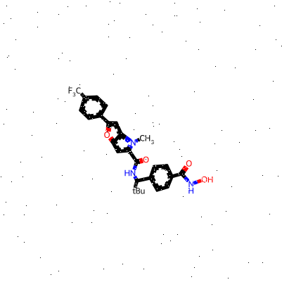 Cn1c(C(=O)NC(c2ccc(C(=O)NO)cc2)C(C)(C)C)cc2oc(-c3ccc(C(F)(F)F)cc3)cc21